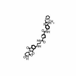 C[C@H]1CCCN1Cc1nc2cc(NC(=O)c3ccc(C(=O)NCCNc4ccc5c(c4)C(=O)N(C4CCC(=O)NC4=O)C5=O)cc3)ccc2[nH]1